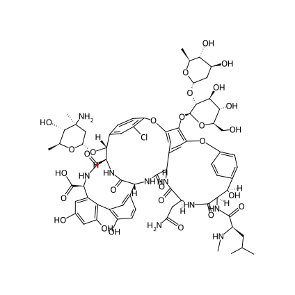 CN[C@H](CC(C)C)C(=O)N[C@H]1C(=O)N[C@@H](CC(N)=O)C(=O)N[C@H]2C(=O)N[C@H]3C(=O)N[C@H](C(=O)N[C@H](C(=O)O)c4cc(O)cc(O)c4-c4cc3ccc4O)[C@H](O[C@H]3C[C@](C)(N)[C@@H](O)[C@H](C)O3)c3ccc(c(Cl)c3)Oc3cc2cc(c3O[C@@H]2O[C@H](CO)[C@@H](O)[C@H](O)[C@H]2O[C@H]2C[C@H](O)[C@@H](O)[C@H](C)O2)Oc2ccc(cc2)[C@H]1O